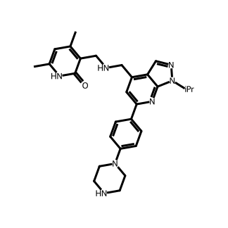 Cc1cc(C)c(CNCc2cc(-c3ccc(N4CCNCC4)cc3)nc3c2cnn3C(C)C)c(=O)[nH]1